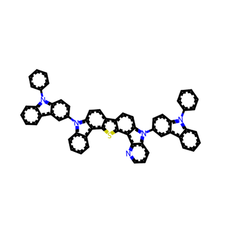 c1ccc(-n2c3ccccc3c3cc(-n4c5ccccc5c5c6sc7c(ccc8c7c7ncccc7n8-c7ccc8c(c7)c7ccccc7n8-c7ccccc7)c6ccc54)ccc32)cc1